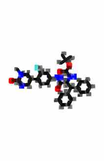 Cn1cc(-c2ccc(NC(=O)[C@@H](NC(=O)OC(C)(C)C)C(c3ccccc3)c3ccccc3)cc2F)cnc1=O